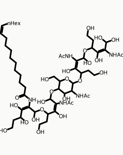 CCCCCC/C=C\CCCCCCCCCC(=O)N/C(=C(\O)C(O)CCO)C(O)OC(CCO)/C(O)=C(/NC(C)=O)C(O)OC1C(CO)OC(OC(CCO)/C(O)=C(/NC(C)=O)C(O)OC(CCO)/C(O)=C(/NC(C)=O)C(O)O)C(NC(C)=O)C1O